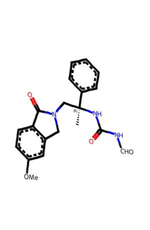 COc1ccc2c(c1)CN(C[C@](C)(NC(=O)NC=O)c1ccccc1)C2=O